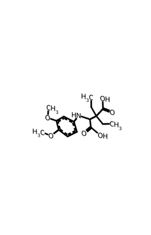 CCC(CC)(C(=O)O)C(Nc1ccc(OC)c(OC)c1)C(=O)O